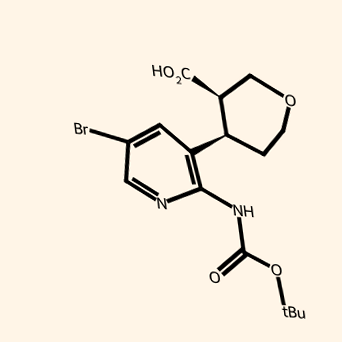 CC(C)(C)OC(=O)Nc1ncc(Br)cc1[C@@H]1CCOC[C@@H]1C(=O)O